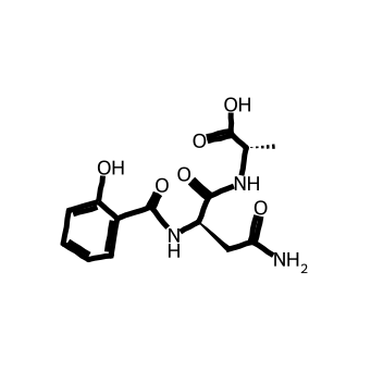 C[C@H](NC(=O)[C@@H](CC(N)=O)NC(=O)c1ccccc1O)C(=O)O